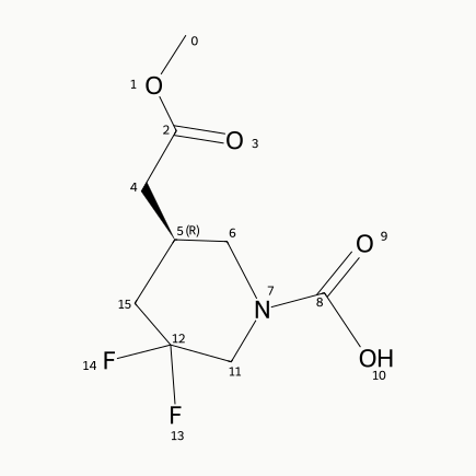 COC(=O)C[C@H]1CN(C(=O)O)CC(F)(F)C1